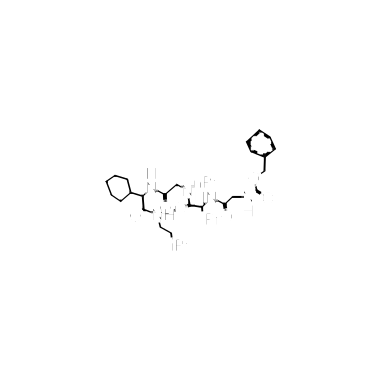 CCCN(CC(=O)NC(C(=O)NCCC(C)C)C1CCCCC1)C(=O)C(NC(=O)CNC(=O)OCc1ccccc1)C(C)C